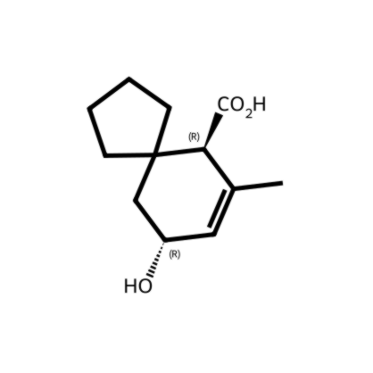 CC1=C[C@H](O)CC2(CCCC2)[C@H]1C(=O)O